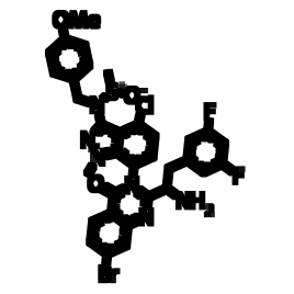 COc1ccc(CN(c2nn(C)c3c(-n4c(C(N)Cc5cc(F)cc(F)c5)nc5cc(Br)ccc5c4=O)ccc(Cl)c23)[S+](C)[O-])cc1